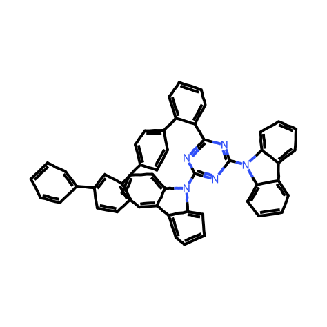 c1ccc(-c2cccc(-c3ccc(-c4ccccc4-c4nc(-n5c6ccccc6c6ccccc65)nc(-n5c6ccccc6c6ccccc65)n4)cc3)c2)cc1